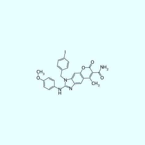 COc1ccc(Nc2nc3cc4c(C)c(C(N)=O)c(=O)oc4cc3n2Cc2ccc(I)cc2)cc1